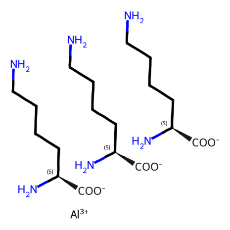 NCCCC[C@H](N)C(=O)[O-].NCCCC[C@H](N)C(=O)[O-].NCCCC[C@H](N)C(=O)[O-].[Al+3]